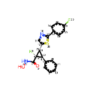 O=C(NO)[C@]1(F)[C@H](c2ccccc2)[C@H]1c1cnc(-c2ccc(F)cc2)s1